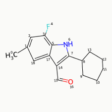 Cc1cc(F)c2[nH]c(C3CCCCC3)c(C=O)c2c1